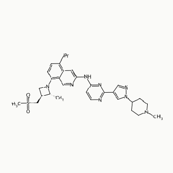 CC(C)c1ccc(N2C[C@H](CS(C)(=O)=O)[C@H]2C)c2cnc(Nc3ccnc(-c4cnn(C5CCN(C)CC5)c4)n3)cc12